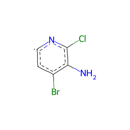 Nc1c(Br)c[c]nc1Cl